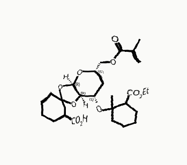 C=C(C)C(=O)OC[C@@H]1C[C@H](OC2(C)CCCCC2C(=O)OCC)[C@H]2OC3(CCCCC3C(=O)O)O[C@H]2O1